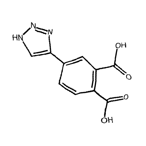 O=C(O)c1ccc(-c2c[nH]nn2)cc1C(=O)O